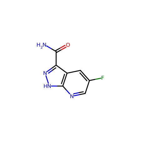 NC(=O)c1n[nH]c2ncc(F)cc12